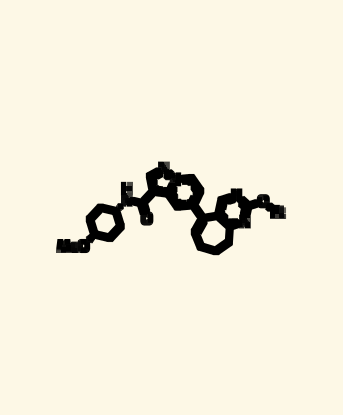 CCOc1ncc2c(n1)CCCC=C2c1ccn2ncc(C(=O)N[C@H]3CC[C@H](OC)CC3)c2c1